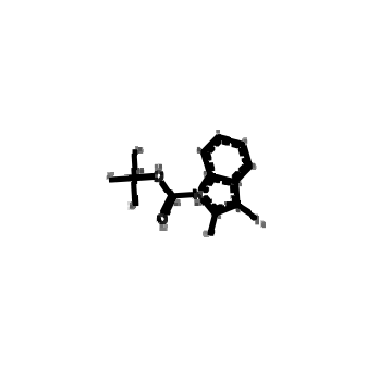 Cc1c(I)c2ccccc2n1C(=O)OC(C)(C)C